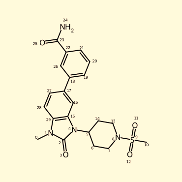 Cn1c(=O)n(C2CCN(S(C)(=O)=O)CC2)c2cc(-c3cccc(C(N)=O)c3)ccc21